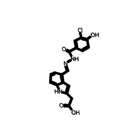 O=C(O)Cc1cc2c(C=NNC(=O)c3ccc(O)c(Cl)c3)cccc2[nH]1